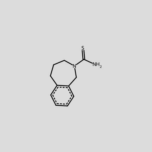 NC(=S)N1CCCc2ccccc2C1